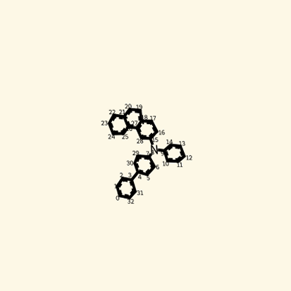 c1ccc(-c2ccc(N(c3ccccc3)c3ccc4ccc5ccccc5c4c3)cc2)cc1